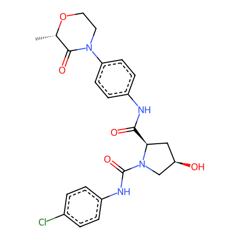 C[C@@H]1OCCN(c2ccc(NC(=O)[C@H]3C[C@@H](O)CN3C(=O)Nc3ccc(Cl)cc3)cc2)C1=O